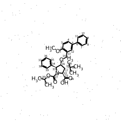 COc1ccc(-c2ccccc2)cc1CO[C@H]1[C@H](C(C)(C)C)[C@@H](C(=O)O)N(C(=O)OC(C)C)[C@H]1c1ccccc1